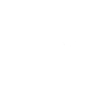 C=C(C)C(=O)NCCSC(CCC)(CCC)c1ccccc1